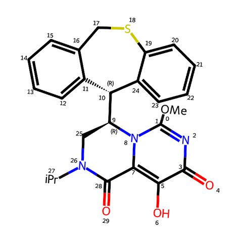 COc1nc(=O)c(O)c2n1[C@H]([C@@H]1c3ccccc3CSc3ccccc31)CN(C(C)C)C2=O